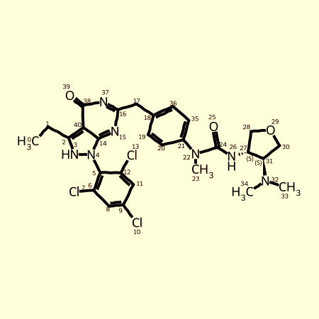 CCc1[nH]n(-c2c(Cl)cc(Cl)cc2Cl)c2nc(Cc3ccc(N(C)C(=O)N[C@@H]4COC[C@H]4N(C)C)cc3)nc(=O)c1-2